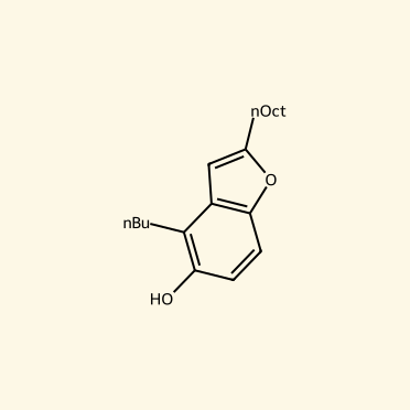 CCCCCCCCc1cc2c(CCCC)c(O)ccc2o1